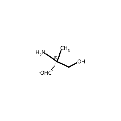 C[C@@](N)([C]=O)CO